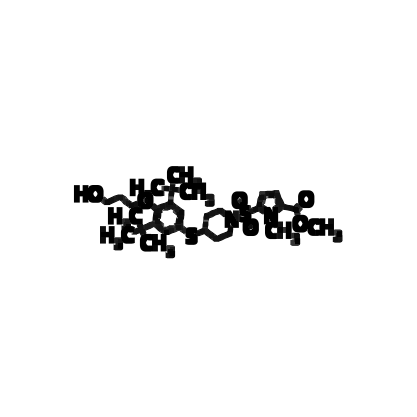 COC(=O)c1ccc(S(=O)(=O)N2CCC(Sc3cc(C(C)(C)C)c(OCCCO)c(C(C)(C)C)c3)CC2)n1C